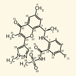 Cc1cc([C@@H](C)Nc2ccc(F)nc2C(=O)NS(C)(=O)=O)c2oc(-c3cnn(C)c3)c(C)c(=O)c2c1